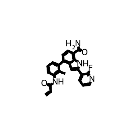 C=CC(=O)Nc1cccc(-c2ccc(C(N)=O)c3[nH]c(-c4cccnc4F)cc23)c1C